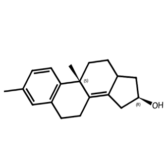 Cc1ccc2c(c1)CCC1=C3C[C@H](O)CC3CC[C@]12C